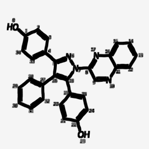 Oc1ccc(-c2nn(-c3cnc4ccccc4n3)c(-c3ccc(O)cc3)c2-c2ccccc2)cc1